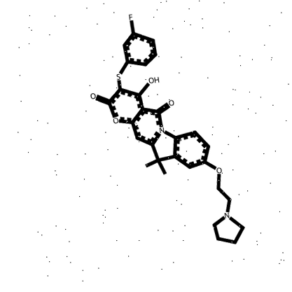 CC1(C)c2cc(OCCN3CCCC3)ccc2-n2c1cc1oc(=O)c(Sc3cccc(F)c3)c(O)c1c2=O